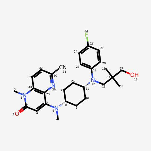 Cn1c(=O)cc(N(C)[C@H]2CC[C@@H](N(CC(C)(C)CO)c3ccc(F)cc3)CC2)c2nc(C#N)ccc21